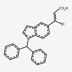 CCC(=CC(=O)O)c1ccc2c(ccn2C(c2ccccc2)c2ccccc2)c1